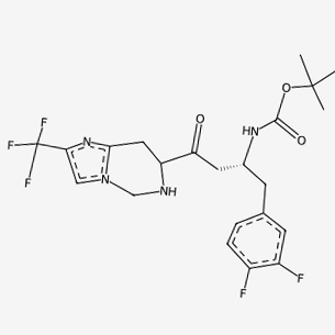 CC(C)(C)OC(=O)N[C@@H](CC(=O)C1Cc2nc(C(F)(F)F)cn2CN1)Cc1ccc(F)c(F)c1